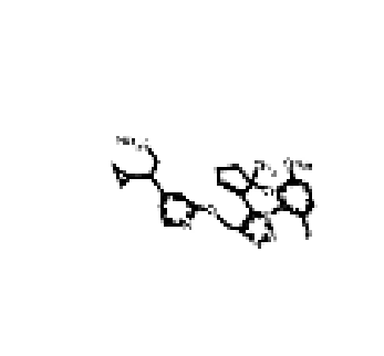 COc1ccc(F)c(-n2nnc(COc3cc(C(CC(=O)O)C4CC4)ccn3)c2C2=CCCC2(C)C)c1